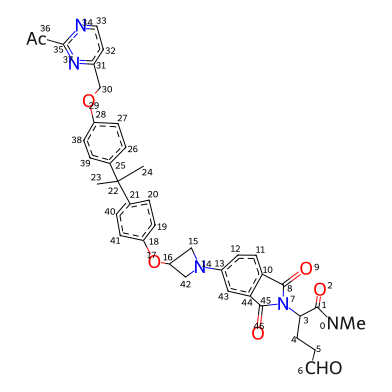 CNC(=O)C(CCC=O)N1C(=O)c2ccc(N3CC(Oc4ccc(C(C)(C)c5ccc(OCc6ccnc(C(C)=O)n6)cc5)cc4)C3)cc2C1=O